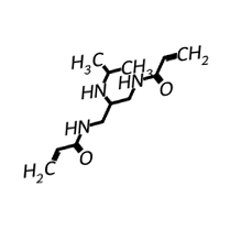 C=CC(=O)NCC(CNC(=O)C=C)NC(C)C